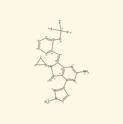 Cn1ccc(-c2nc(N)nc3c2C(=O)N(C2CC2)C3=Cc2ccccc2OC(F)(F)F)n1